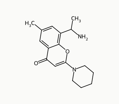 Cc1cc(C(C)N)c2oc(N3CCCCC3)cc(=O)c2c1